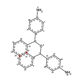 Nc1ccc(C(OC(c2ccccc2)c2ccc(N)cc2)c2ccccc2)cc1